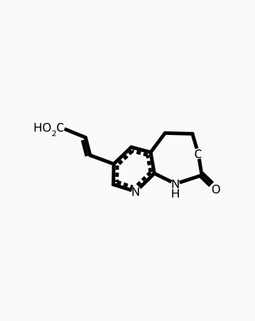 O=C(O)C=Cc1cnc2c(c1)CCCC(=O)N2